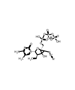 C=C[C@H]1[C@H](n2cc(C)c(N)nc2=O)O[C@@]2(COP(=O)(O)OP(=O)(O)OP(=O)(O)O)C(N=[N+]=[N-])[C@]12O